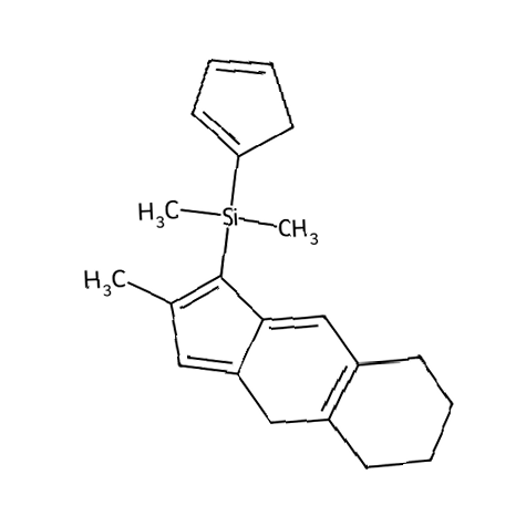 CC1=C([Si](C)(C)C2=CC=CC2)C2=CC3=C(CCCC3)CC2=C1